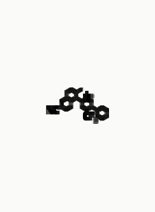 Cc1ccc2cc(C#N)ccc2c1-c1cc(C(F)(F)F)c(-c2ccccc2)c[n+]1C